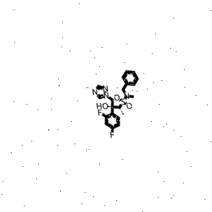 C[C@H]([C@](O)(Cn1cncn1)c1ccc(F)cc1F)S(=O)(=O)N(C)Cc1ccccc1